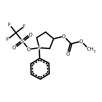 COC(=O)OC1CCS(OS(=O)(=O)C(F)(F)F)(c2ccccc2)C1